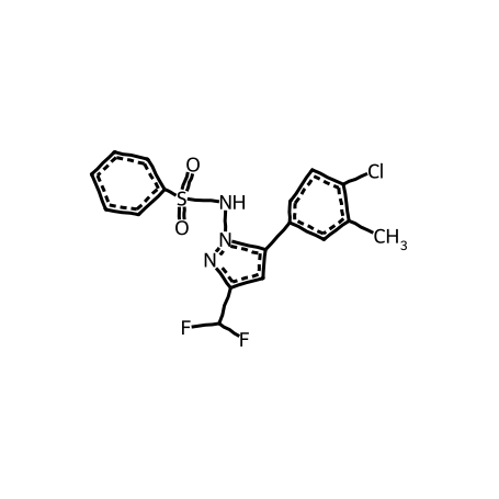 Cc1cc(-c2cc(C(F)F)nn2NS(=O)(=O)c2ccccc2)ccc1Cl